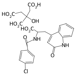 O=C(NC(Cc1cc(=O)[nH]c2ccccc12)C(=O)O)c1ccc(Cl)cc1.O=C(O)CC(O)(CC(=O)O)C(=O)O